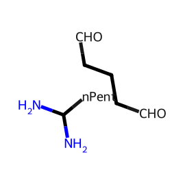 CCCCCC(N)N.O=CCCCC=O